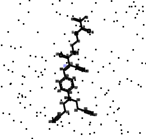 C=C(C)C(=O)OCCNC(=O)/C(C#N)=C/c1ccc(N(CCC#N)CCC#N)cc1